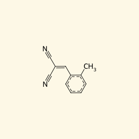 Cc1ccccc1C=C(C#N)C#N